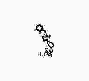 CS(=O)(=O)OC1CCN(c2ccn(Cc3ccccc3)n2)C1